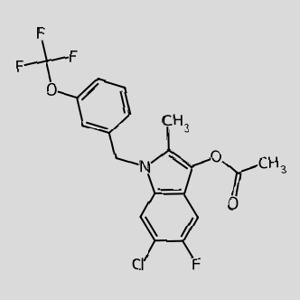 CC(=O)Oc1c(C)n(Cc2cccc(OC(F)(F)F)c2)c2cc(Cl)c(F)cc12